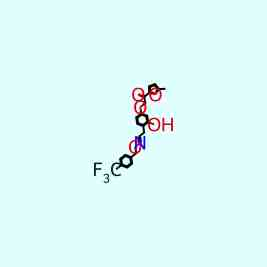 Cc1ccc(C(=O)COc2ccc(CC=NOCc3ccc(C(F)(F)F)cc3)c(O)c2)o1